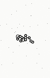 c1cc(-c2ccc3ccccc3c2)cc(-c2c3ccccc3c(-c3cc4ccc5oc6ccccc6c5c4c4c3oc3ccccc34)c3ccccc23)c1